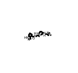 Cn1cnc(CNc2ccc3nc(CNC(=O)c4cccc5[nH]ncc45)cn3c2)c1